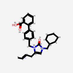 C/C=C/Cc1cn(CC2CCCCC2)c(=O)n1Cc1ccc(-c2ccccc2C(=O)O)cc1